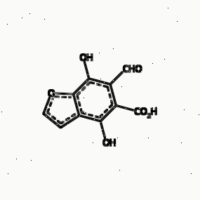 O=Cc1c(C(=O)O)c(O)c2ccoc2c1O